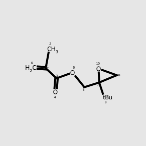 C=C(C)C(=O)OCC1(C(C)(C)C)CO1